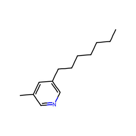 CCCCCCCc1cncc(C)c1